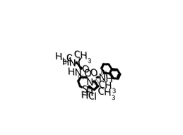 CC[C@H](NC)C(=O)N[C@H]1CCS[C@H]2CC(C)(C)[C@@H](C(=O)N[C@@H]3CCCc4ccccc43)N2C1=O.Cl